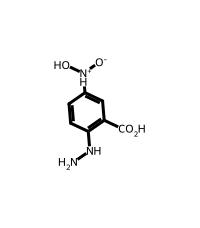 NNc1ccc([NH+]([O-])O)cc1C(=O)O